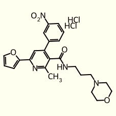 Cc1nc(-c2ccco2)cc(-c2cccc([N+](=O)[O-])c2)c1C(=O)NCCCN1CCOCC1.Cl.Cl